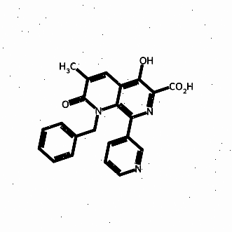 Cc1cc2c(O)c(C(=O)O)nc(-c3cccnc3)c2n(Cc2ccccc2)c1=O